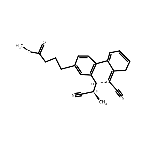 COC(=O)CCCc1ccc2c(c1)[C@@H]([C@@H](C)C#N)C(C#N)=C1CC=CC=C12